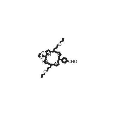 C=CCOCCCc1c2nc(c(-c3nccn3C)c3ccc([nH]3)c(CCCOCC=C)c3nc(c(-c4ccc(C=O)cc4)c4ccc1[nH]4)C=C3)C=C2